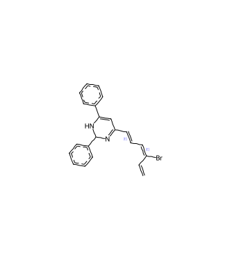 C=C/C(Br)=C\C=C\C1=NC(c2ccccc2)NC(c2ccccc2)=C1